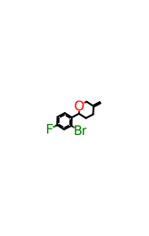 C=C1CCC(c2ccc(F)cc2Br)OC1